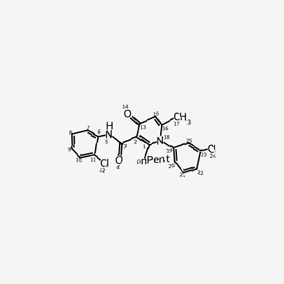 CCCCCc1c(C(=O)Nc2ccccc2Cl)c(=O)cc(C)n1-c1cccc(Cl)c1